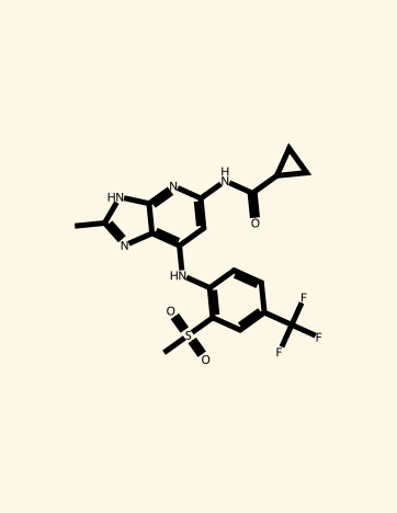 Cc1nc2c(Nc3ccc(C(F)(F)F)cc3S(C)(=O)=O)cc(NC(=O)C3CC3)nc2[nH]1